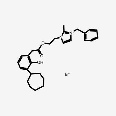 Cc1n(CCOC(=O)Cc2cccc(C3CCCCCC3)c2O)cc[n+]1Cc1ccccc1.[Br-]